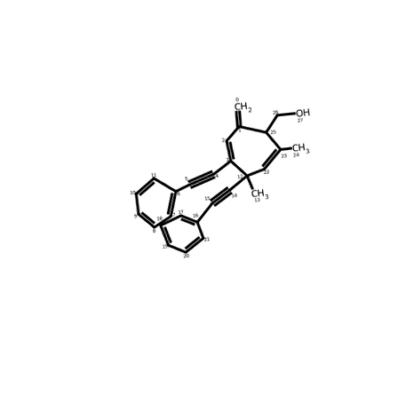 C=C1C=C(C#Cc2ccccc2)C(C)(C#Cc2ccccc2)C=C(C)C1CO